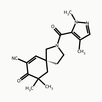 Cc1cnn(C)c1C(=O)N1CC[C@]2(C=C(C#N)C(=O)C(C)(C)C2)C1